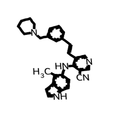 Cc1c(Nc2c(C#N)cncc2C=Cc2cccc(CN3CCCCC3)c2)ccc2[nH]ccc12